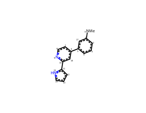 CNc1cccc(-c2ccnc(-c3ccc[nH]3)c2)c1